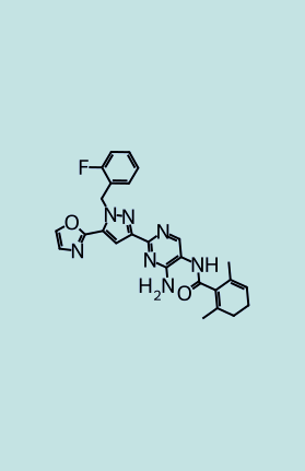 CC1=CCCC(C)=C1C(=O)Nc1cnc(-c2cc(-c3ncco3)n(Cc3ccccc3F)n2)nc1N